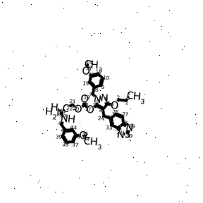 CCCOc1nn(Cc2cccc(OC)c2)c(OC(=O)OCC)c1Cc1ccc2nsnc2c1.COc1cccc(CNN)c1